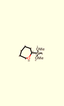 CO[Si](C)(OC)C1CCCCCO1